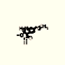 COCc1ccc(C(C(=O)O)C(=O)O)c(N)c1